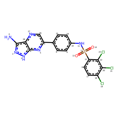 Nc1n[nH]c2nc(-c3ccc(NS(=O)(=O)c4ccc(Cl)c(Cl)c4Cl)cc3)cnc12